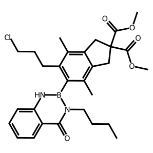 CCCCN1B(c2c(C)c3c(c(C)c2CCCCl)CC(C(=O)OC)(C(=O)OC)C3)Nc2ccccc2C1=O